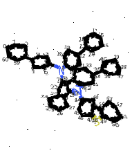 c1ccc(-c2ccc(N(c3ccc(-c4ccccc4)cc3)c3cc4ccccc4c4c3c3ccc(-c5ccccc5)cc3n4-c3ccc4sc5ccccc5c4c3)cc2)cc1